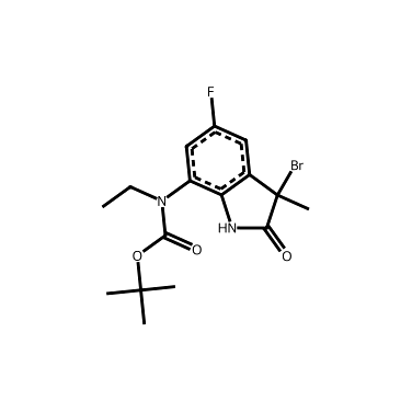 CCN(C(=O)OC(C)(C)C)c1cc(F)cc2c1NC(=O)C2(C)Br